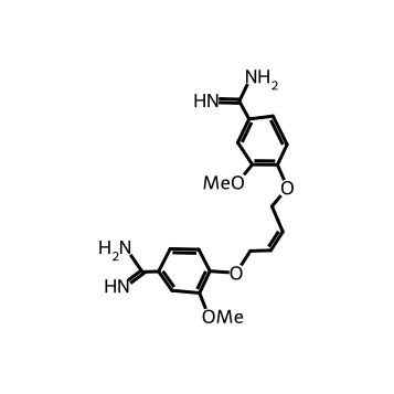 COc1cc(C(=N)N)ccc1OC/C=C\COc1ccc(C(=N)N)cc1OC